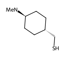 CN[C@H]1CC[C@H](CS)CC1